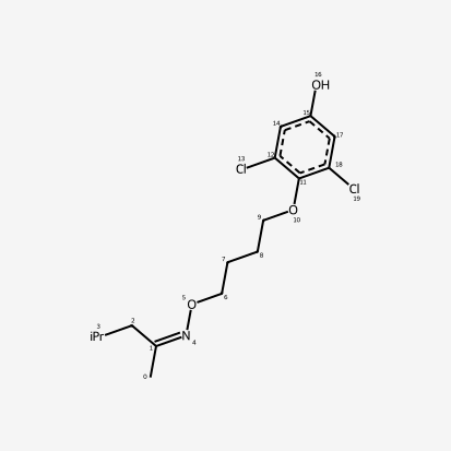 CC(CC(C)C)=NOCCCCOc1c(Cl)cc(O)cc1Cl